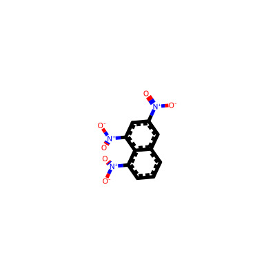 O=[N+]([O-])c1cc([N+](=O)[O-])c2c([N+](=O)[O-])cccc2c1